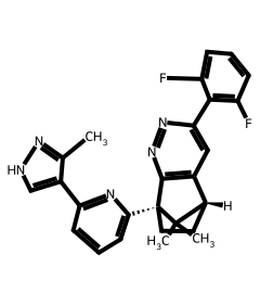 Cc1n[nH]cc1-c1cccc([C@]23CC[C@@H](c4cc(-c5c(F)cccc5F)nnc42)C3(C)C)n1